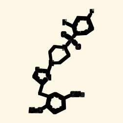 COc1ccc(OC)c(Cc2csc(N3CCN(S(=O)(=O)c4ccc(F)cc4F)CC3)n2)c1